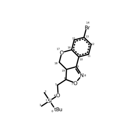 CC(C)(C)[Si](C)(C)OCC1ON=C2c3ccc(Br)cc3OCC21